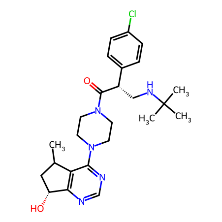 CC1C[C@@H](O)c2ncnc(N3CCN(C(=O)[C@@H](CNC(C)(C)C)c4ccc(Cl)cc4)CC3)c21